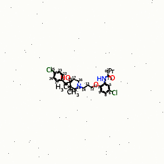 CC(C)C(=O)Nc1cc(Cl)ccc1OCCCN1CCC(O)(Cc2ccc(Cl)cc2)C(C)(C)C1